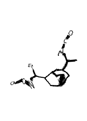 CCC(N=C=O)C1CC2CC(C(C)N=C=O)C1C2